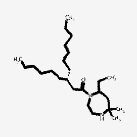 CCCCCCC[C@@H](CCCCCC)CC(=O)N1CCNC(C)(C)CC1CC